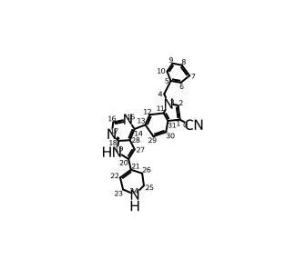 N#Cc1cn(Cc2ccccc2)c2cc(-c3ncnc4[nH]c(C5=CCNCC5)cc34)ccc12